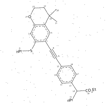 CCCSc1cc2c(cc1C#Cc1ccc(C(CCC)C(=O)OCC)cc1)C(C)(C)CCO2